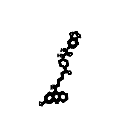 O=C(Nc1ccc2c(c1)OCO2)NC1CCN(C(=O)CCCCNc2c3c(nc4cc(Cl)ccc24)CCCC3)CC1